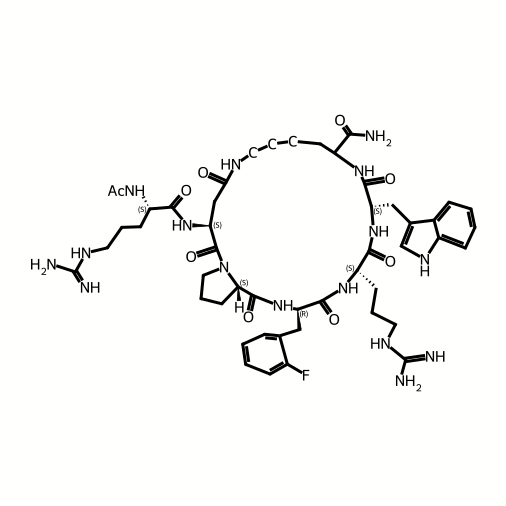 CC(=O)N[C@@H](CCCNC(=N)N)C(=O)N[C@H]1CC(=O)NCCCCC(C(N)=O)NC(=O)[C@H](Cc2c[nH]c3ccccc23)NC(=O)[C@H](CCCNC(=N)N)NC(=O)[C@@H](Cc2ccccc2F)NC(=O)[C@@H]2CCCN2C1=O